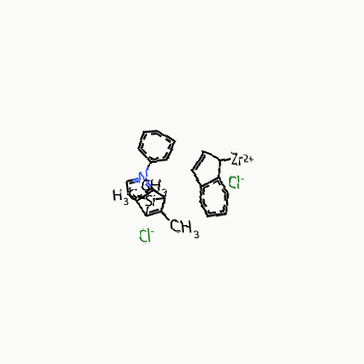 CC1=C2c3ccn(-c4ccccc4)c3C1[Si]2(C)C.[Cl-].[Cl-].[Zr+2][CH]1C=Cc2ccccc21